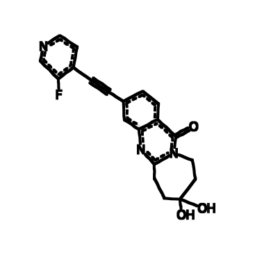 O=c1c2ccc(C#Cc3ccncc3F)cc2nc2n1CCC(O)(O)CC2